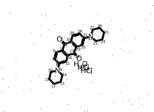 Cl.Cl.O.O=C1c2ccc(N3CCCCC3)cc2C(=O)c2cc(N3CCCCC3)ccc21